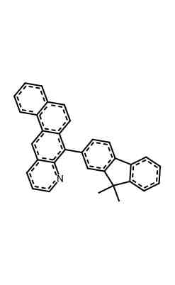 CC1(C)c2ccccc2-c2ccc(-c3c4ccc5ccccc5c4cc4cccnc34)cc21